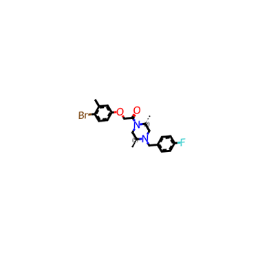 Cc1cc(OCC(=O)N2C[C@H](C)N(Cc3ccc(F)cc3)C[C@H]2C)ccc1Br